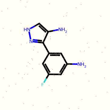 Nc1cc(F)cc(-c2n[nH]cc2N)c1